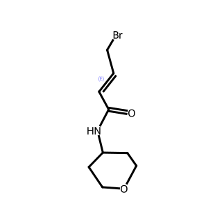 O=C(/C=C/CBr)NC1CCOCC1